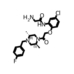 C[C@@H]1CN(C(=O)COc2ccc(Cl)cc2NC(=O)CN)[C@@H](C)CN1Cc1ccc(F)cc1